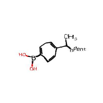 CCCCCC(C)c1ccc(B(O)O)cc1